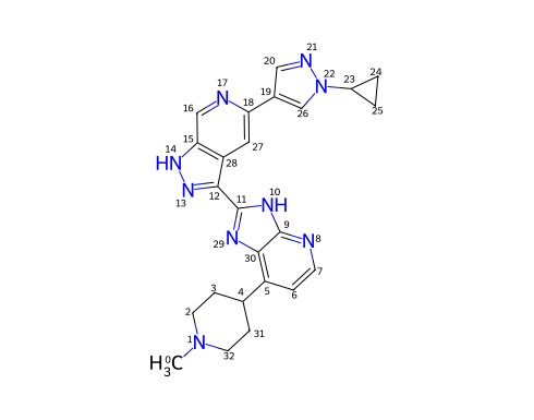 CN1CCC(c2ccnc3[nH]c(-c4n[nH]c5cnc(-c6cnn(C7CC7)c6)cc45)nc23)CC1